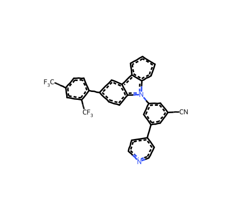 N#Cc1cc(-c2ccncc2)cc(-n2c3ccccc3c3cc(-c4ccc(C(F)(F)F)cc4C(F)(F)F)ccc32)c1